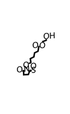 O=C(CCCCC(=O)ON1C(=O)CCC1=S)OCCO